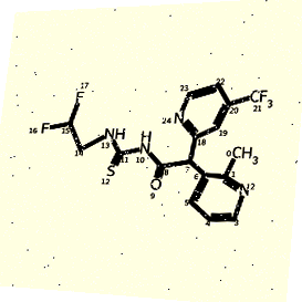 Cc1ncccc1C(C(=O)NC(=S)NCC(F)F)c1cc(C(F)(F)F)ccn1